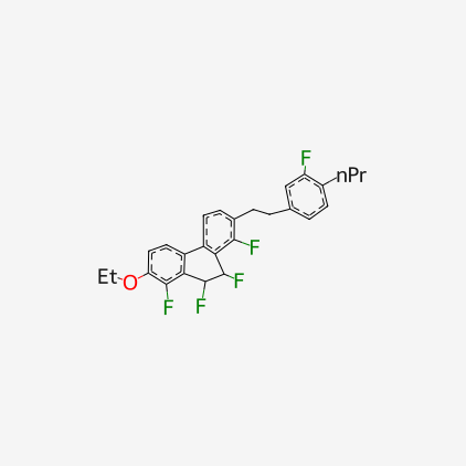 CCCc1ccc(CCc2ccc3c(c2F)C(F)C(F)c2c-3ccc(OCC)c2F)cc1F